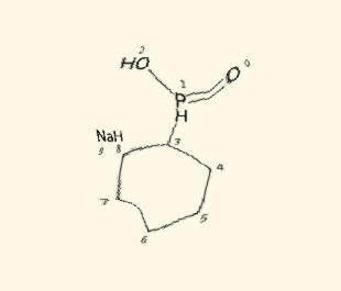 O=[PH](O)C1CCCCC1.[NaH]